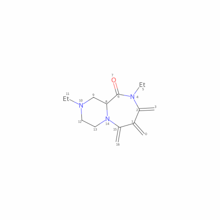 C=C1C(=C)N(CC)C(=O)C2CN(CC)CCN2C1=C